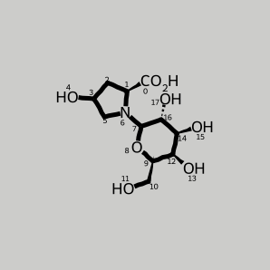 O=C(O)[C@@H]1CC(O)CN1C1O[C@H](CO)[C@H](O)[C@H](O)[C@H]1O